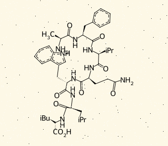 CC[C@H](C)[C@H](NC(=O)[C@H](CC(C)C)NC(=O)[C@H](Cc1c[nH]c2ccccc12)NC(=O)[C@H](CCC(N)=O)NC(=O)[C@@H](NC(=O)[C@H](Cc1ccccc1)NC(=O)[C@H](C)N)C(C)C)C(=O)O